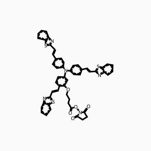 O=C(CCCOc1cc(N(c2ccc(C=Cc3nc4ccccc4s3)cc2)c2ccc(C=Cc3nc4ccccc4s3)cc2)ccc1C=Cc1nc2ccccc2s1)ON1C(=O)CCC1=O